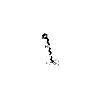 CC(C)(C)CCOCCCNCCCc1ncc[nH]1